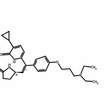 CCN(CC)CCCOc1ccc(/C(=C/[C@H]2CCC(=O)N2)c2ccc(C3CC3)c(=O)[nH]2)cc1